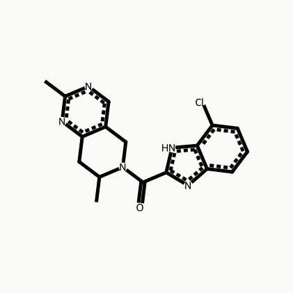 Cc1ncc2c(n1)CC(C)N(C(=O)c1nc3cccc(Cl)c3[nH]1)C2